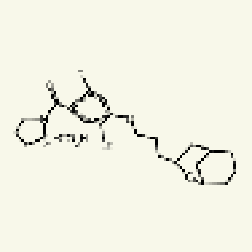 CCc1cc(C(=O)N2CCC[C@H]2C(=O)O)c(F)cc1OCCCC1CC2CCCC(C1)C2